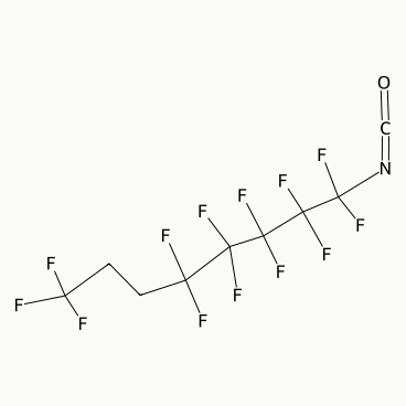 O=C=NC(F)(F)C(F)(F)C(F)(F)C(F)(F)C(F)(F)CCC(F)(F)F